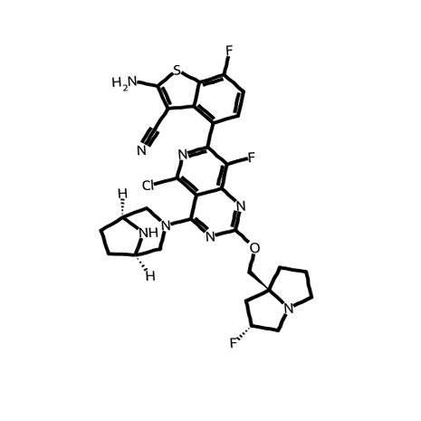 N#Cc1c(N)sc2c(F)ccc(-c3nc(Cl)c4c(N5C[C@H]6CC[C@@H](C5)N6)nc(OC[C@@]56CCCN5C[C@H](F)C6)nc4c3F)c12